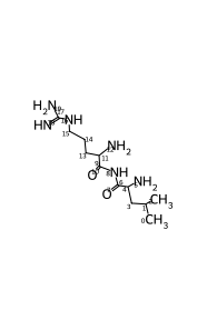 CC(C)CC(N)C(=O)NC(=O)C(N)CCCNC(=N)N